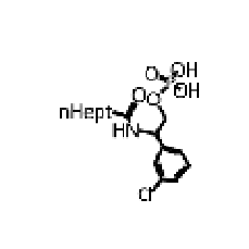 CCCCCCCC(=O)NC(COP(=O)(O)O)c1cccc(Cl)c1